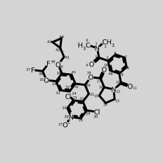 CN(C)C(=O)c1cccc(C(=O)N2CCCC2C(=O)OC(Cc2c(Cl)c[n+]([O-])cc2Cl)c2ccc(OC(F)F)c(OCC3CC3)c2)c1